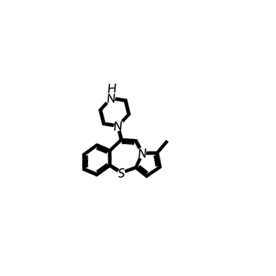 Cc1ccc2n1C=C(N1CCNCC1)c1ccccc1S2